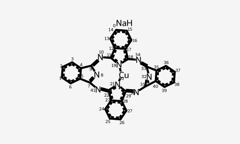 [NaH].c1ccc2c(c1)C1=NC/2=N\c2c3ccccc3c3[n]2[Cu][n]2/c(c4ccccc4/c2=N/C2=N\C(=N/3)c3ccccc32)=N\1